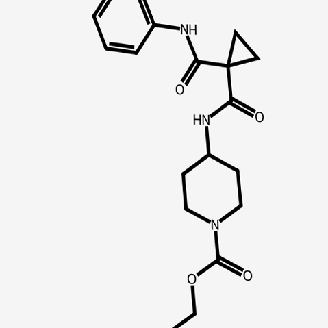 CCOC(=O)N1CCC(NC(=O)C2(C(=O)Nc3ccccc3)CC2)CC1